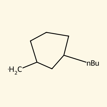 [CH2]C1CCCC(CCCC)C1